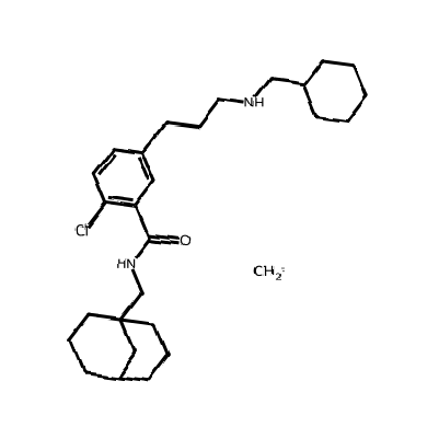 O=C(NCC12CCCC(CCC1)C2)c1cc(CCCNCC2CCCCC2)ccc1Cl.[CH2]